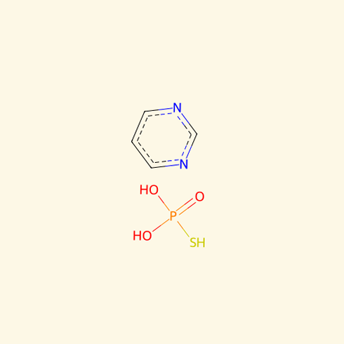 O=P(O)(O)S.c1cncnc1